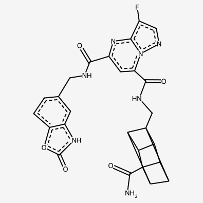 NC(=O)C12C3C4C1C1C2C3C41CNC(=O)c1cc(C(=O)NCc2ccc3oc(=O)[nH]c3c2)nc2c(F)cnn12